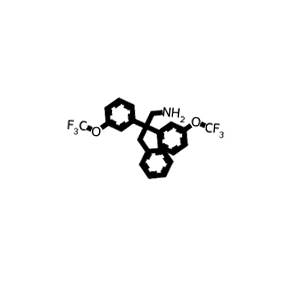 NCC(Cc1ccccc1)(c1cccc(OC(F)(F)F)c1)c1cccc(OC(F)(F)F)c1